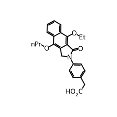 CCCOc1c2c(c(OCC)c3ccccc13)C(=O)N(c1ccc(CC(=O)O)cc1)C2